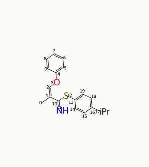 CC(=COc1ccccc1)C(=N)Sc1ccc(C(C)C)cc1